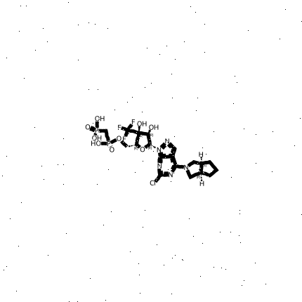 O=P(O)(O)CP(=O)(O)OC[C@H]1O[C@@H](n2ncc3c(N4C[C@H]5CCC[C@H]5C4)nc(Cl)nc32)[C@H](O)[C@@]1(O)C(F)(F)F